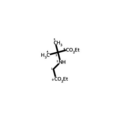 CCOC(=O)CNC(C)(C)C(=O)OCC